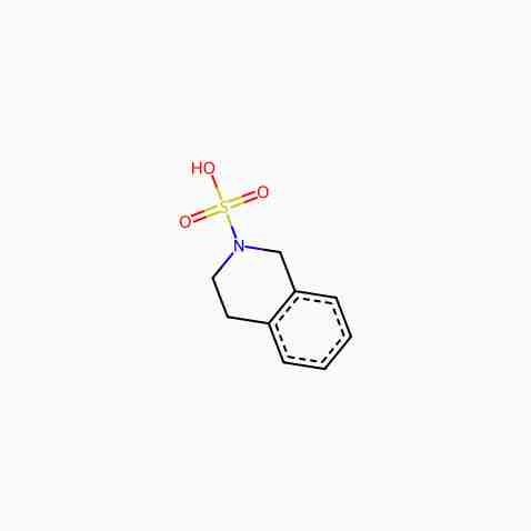 O=S(=O)(O)N1CCc2ccccc2C1